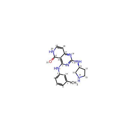 Cc1cccc(Nc2nc(N[C@H]3CCNC3)nc3cc[nH]c(=O)c23)c1